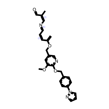 C=C(\C=C/C=N/C=C(/C)C=O)OCc1cnc(OCc2ccc(-n3cccn3)cc2)c(OC)c1